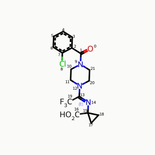 O=C(c1ccccc1Cl)N1CCN(/C(=N/C2(C(=O)O)CC2)C(F)(F)F)CC1